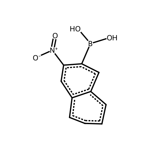 O=[N+]([O-])c1cc2ccccc2cc1B(O)O